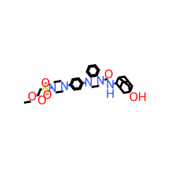 CCOC(=O)CS(=O)(=O)N1CCN(c2ccc(N3CCN(C(=O)NC4C5CC6CC4CC(O)(C6)C5)c4ccccc43)cc2)CC1